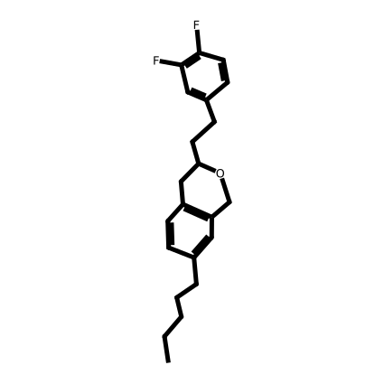 CCCCCc1ccc2c(c1)COC(CCc1ccc(F)c(F)c1)C2